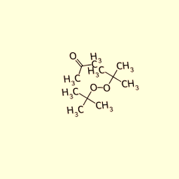 CC(C)(C)OOC(C)(C)C.CC(C)=O